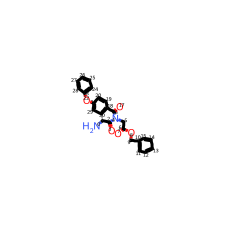 NCC(=O)N(CC(=O)OCc1ccccc1)C(=O)c1ccc(Oc2ccccc2)cc1